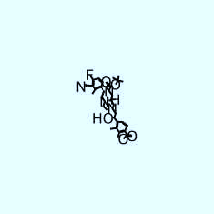 Cc1c([C@@H]2CN3CCN(C[C@H](O)c4ccc5c(c4C)COC5=O)C[C@H]3CN2C(=O)OC(C)(C)C)ccc(F)c1C#N